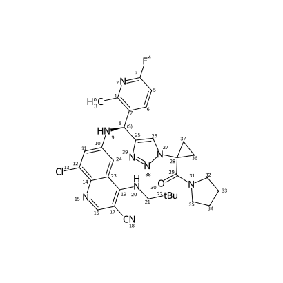 Cc1nc(F)ccc1[C@H](Nc1cc(Cl)c2ncc(C#N)c(NCC(C)(C)C)c2c1)c1cn(C2(C(=O)N3CCCC3)CC2)nn1